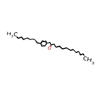 CCCCCCCCCCCCC(=O)Cc1ccc(CCCCCCCC)cc1